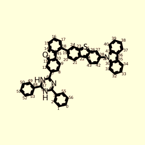 c1ccc(C2N=C(c3ccc4c(c3)oc3cccc(-c5ccc6c(c5)sc5cc(-n7c8ccccc8c8ccccc87)ccc56)c34)NC(c3ccccc3)N2)cc1